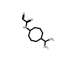 CC(C)C1CCCC(NC(=O)C=O)CCC1